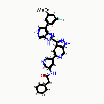 COc1cc(F)cc(-c2cncc3[nH]c(-c4n[nH]c5cnc(-c6cncc(NC(=O)CC7CCCCC7)c6)cc45)nc23)c1